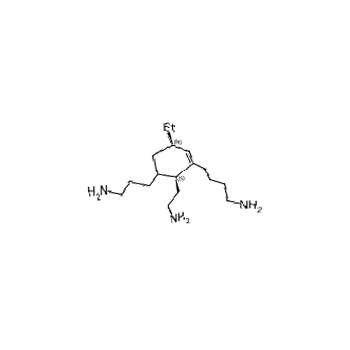 CC[C@H]1C=C(CCCCN)[C@@H](CCN)C(CCCN)C1